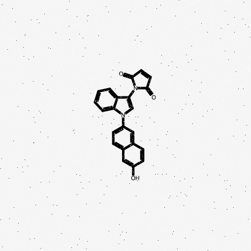 O=C1C=CC(=O)N1c1cn(-c2ccc3cc(O)ccc3c2)c2ccccc12